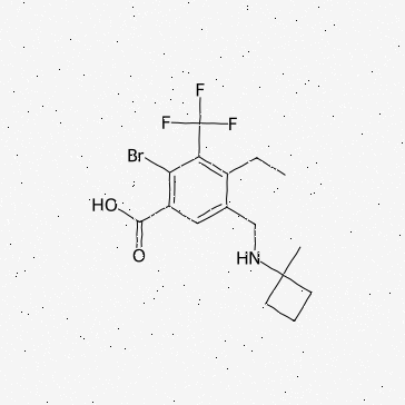 CCc1c(CNC2(C)CCC2)cc(C(=O)O)c(Br)c1C(F)(F)F